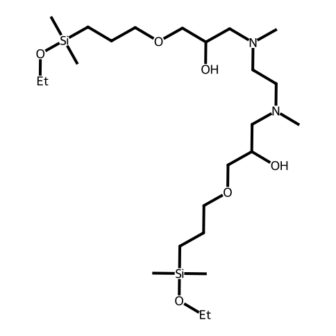 CCO[Si](C)(C)CCCOCC(O)CN(C)CCN(C)CC(O)COCCC[Si](C)(C)OCC